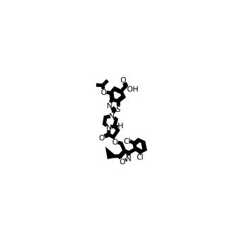 CC(C)Oc1cc(C(=O)O)cc2sc(N3CCN4C(=O)[C@H](OCc5c(-c6c(Cl)cccc6Cl)noc5C5CC5)C[C@H]4C3)nc12